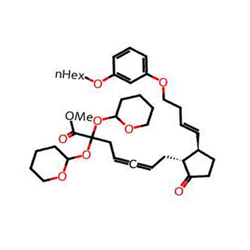 CCCCCCOc1cccc(OCC/C=C/[C@H]2CCC(=O)[C@@H]2CC=C=CCC(OC2CCCCO2)(OC2CCCCO2)C(=O)OC)c1